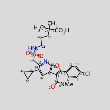 CNC(=O)c1c(-c2ccc(Cl)cc2)oc2nc(CS(=O)(=O)NCCCC(C)(C)C(=O)O)c(C3CC3)cc12